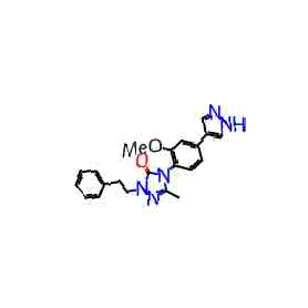 COc1cc(-c2cn[nH]c2)ccc1-n1c(C)nn(CCc2ccccc2)c1=O